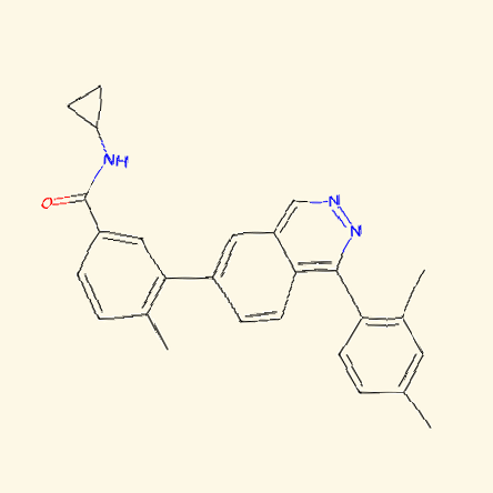 Cc1ccc(-c2nncc3cc(-c4cc(C(=O)NC5CC5)ccc4C)ccc23)c(C)c1